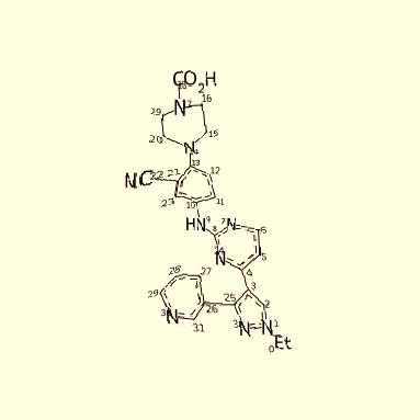 CCn1cc(-c2ccnc(Nc3ccc(N4CCN(C(=O)O)CC4)c(C#N)c3)n2)c(-c2cccnc2)n1